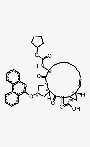 O=C(N[C@H]1CCCCCC=C[C@@H]2C[C@@]2(C(=O)O)NC(=O)[C@@H]2C[C@@H](Oc3nc4ccccc4c4ccccc34)CN2C1=O)OC1CCCC1